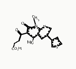 Cn1c(=O)c(C(=O)CCC(=O)O)c(O)c2cc(-c3ccsc3)cnc21